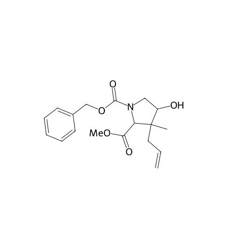 C=CCC1(C)C(O)CN(C(=O)OCc2ccccc2)C1C(=O)OC